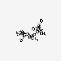 C[C@H](C(=O)Nc1ccc2c(F)c(N3CC(=O)NS3(=O)=O)c(OCc3ccccc3)cc2c1)N1CC=C(c2ccc3c(c2)n(C)c(=O)n3-c2ccc(OCc3ccccc3)nc2OCc2ccccc2)CC1